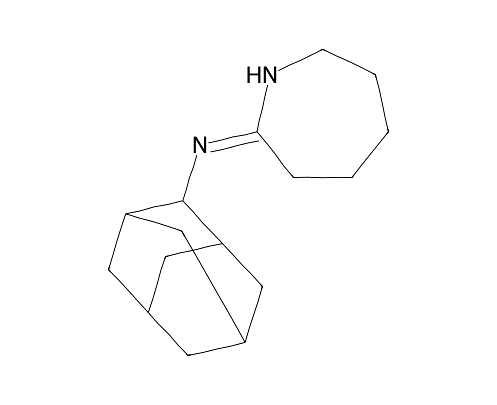 C1CCNC(=NC2C3CC4CC(C3)CC2C4)CC1